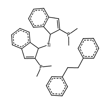 CP(C)C1=Cc2ccccc2[CH]1[Ti][CH]1C(P(C)C)=Cc2ccccc21.c1ccc(CCc2ccccc2)cc1